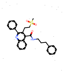 CS(=O)(=O)CCc1c(-c2ccccc2)nc2ccccc2c1C(=O)NCCCc1ccccc1